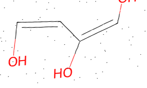 O/C=C\C(O)=C/O